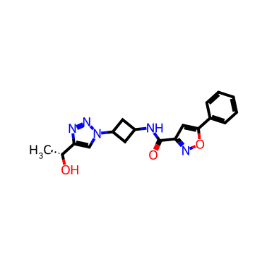 C[C@@H](O)c1cn(C2CC(NC(=O)c3cc(-c4ccccc4)on3)C2)nn1